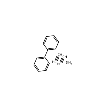 C#C.C#C.[SiH4].c1ccc(-c2ccccc2)cc1